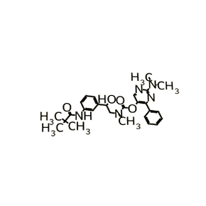 CN(CC(O)c1cccc(NC(=O)C(C)(C)C)c1)C(=O)Oc1cnc(N(C)C)nc1-c1ccccc1